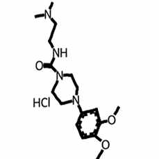 COc1ccc(N2CCN(C(=O)NCCN(C)C)CC2)cc1OC.Cl